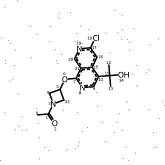 CC(=O)N1CC(Oc2ncc(C(C)(C)O)c3cc(Cl)ncc23)C1